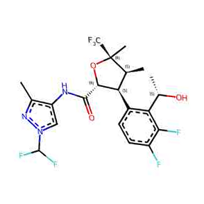 Cc1nn(C(F)F)cc1NC(=O)[C@@H]1O[C@@](C)(C(F)(F)F)[C@@H](C)[C@H]1c1ccc(F)c(F)c1[C@H](C)O